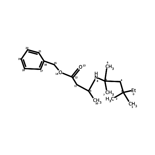 CCC(C)(C)CC(C)(C)NC(C)CC(=O)OCc1ccccc1